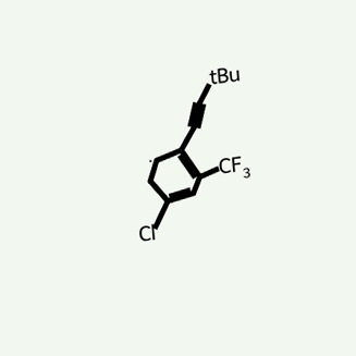 CC(C)(C)C#CC1=C(C(F)(F)F)C=C(Cl)C[CH]1